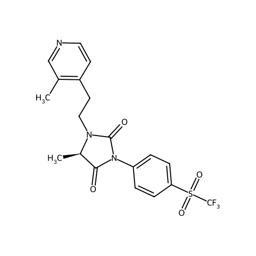 Cc1cnccc1CCN1C(=O)N(c2ccc(S(=O)(=O)C(F)(F)F)cc2)C(=O)[C@H]1C